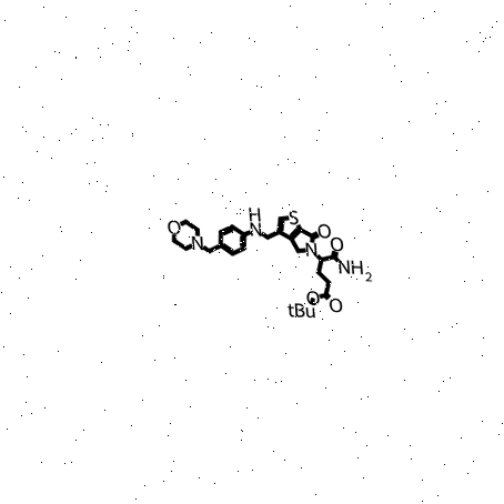 CC(C)(C)OC(=O)CCC(C(N)=O)N1Cc2c(CNc3ccc(CN4CCOCC4)cc3)csc2C1=O